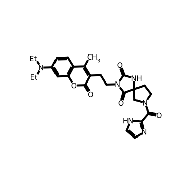 CCN(CC)c1ccc2c(C)c(CCN3C(=O)NC4(CCN(C(=O)c5ncc[nH]5)C4)C3=O)c(=O)oc2c1